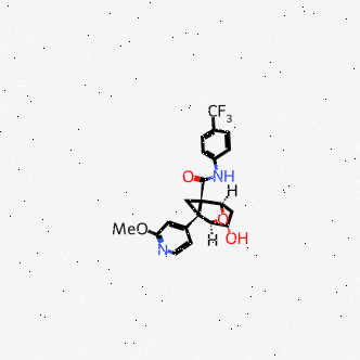 COc1cc([C@@]23C[C@]2(C(=O)Nc2ccc(C(F)(F)F)cc2)[C@H]2C[C@H](O)[C@@H]3O2)ccn1